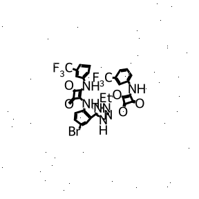 CCOc1c(Nc2cccc(C(F)(F)F)c2)c(=O)c1=O.O=c1c(Nc2cccc(C(F)(F)F)c2)c(Nc2ccc(Br)cc2-c2nnn[nH]2)c1=O